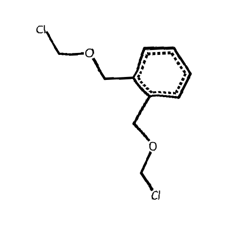 ClCOCc1ccccc1COCCl